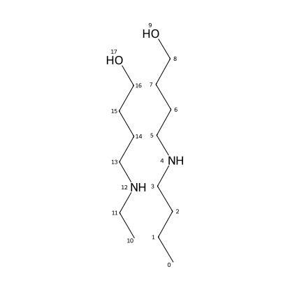 CCCCNCCCCO.CCNCCCCO